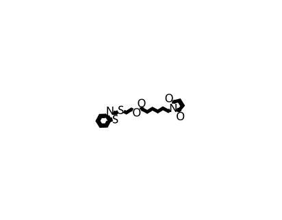 O=C(CCCCCN1C(=O)C=CC1=O)OCCSc1nc2ccccc2s1